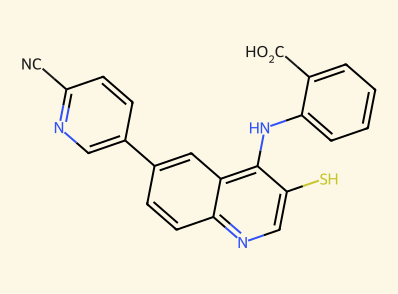 N#Cc1ccc(-c2ccc3ncc(S)c(Nc4ccccc4C(=O)O)c3c2)cn1